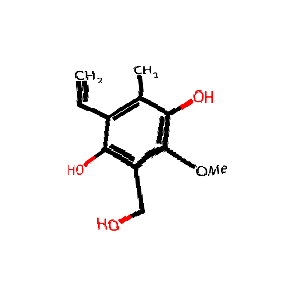 C=Cc1c(C)c(O)c(OC)c(CO)c1O